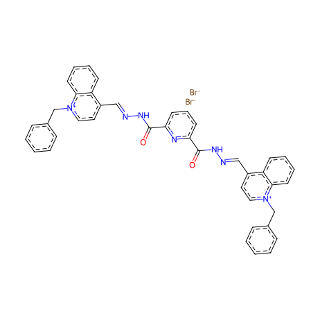 O=C(NN=Cc1cc[n+](Cc2ccccc2)c2ccccc12)c1cccc(C(=O)NN=Cc2cc[n+](Cc3ccccc3)c3ccccc23)n1.[Br-].[Br-]